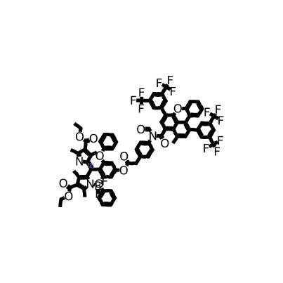 CCOC(=O)C1=C(C)/C(=C(\c2c(Oc3ccccc3)cc(OC(=O)Cc3ccc(N(C=O)C(=O)c4cc(-c5cc(C(F)(F)F)cc(C(F)(F)F)c5)c5c6c(c(-c7cc(C(F)(F)F)cc(C(F)(F)F)c7)cc(C)c46)-c4ccccc4O5)cc3)cc2Oc2ccccc2)c2c(C)c(C(=O)OCC)c(C)n2B(F)F)N=C1C